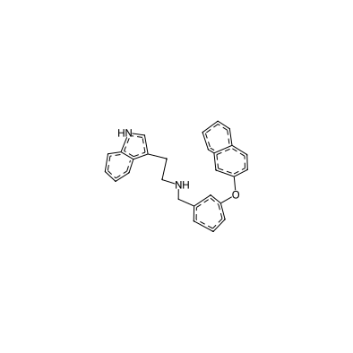 c1cc(CNCCc2c[nH]c3ccccc23)cc(Oc2ccc3ccccc3c2)c1